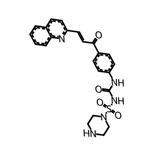 O=C(Nc1ccc(C(=O)C=Cc2ccc3ccccc3n2)cc1)NS(=O)(=O)N1CCNCC1